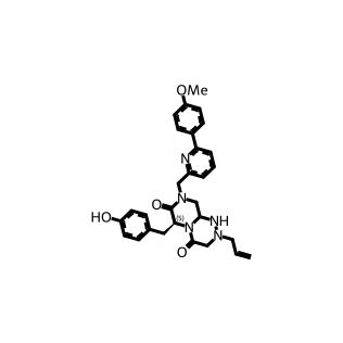 C=CCN1CC(=O)N2C(CN(Cc3cccc(-c4ccc(OC)cc4)n3)C(=O)[C@@H]2Cc2ccc(O)cc2)N1